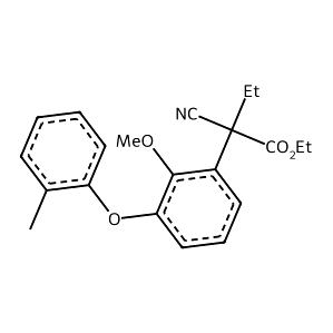 CCOC(=O)C(C#N)(CC)c1cccc(Oc2ccccc2C)c1OC